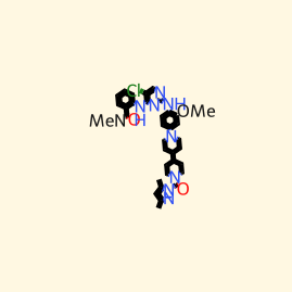 CNC(=O)c1ccccc1Nc1nc(Nc2ccc(N3CCC(C4CCN(C(=O)n5nc(C)cc5C)CC4)CC3)cc2OC)ncc1Cl